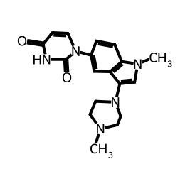 CN1CCN(c2cn(C)c3ccc(-n4ccc(=O)[nH]c4=O)cc23)CC1